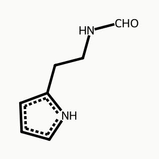 O=CNCCc1ccc[nH]1